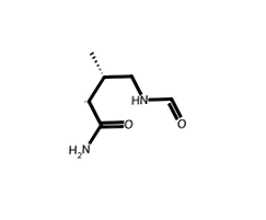 C[C@@H]([CH]C(N)=O)CNC=O